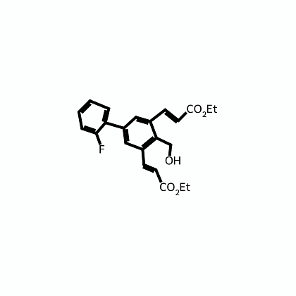 CCOC(=O)/C=C/c1cc(-c2ccccc2F)cc(/C=C/C(=O)OCC)c1CO